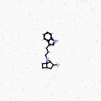 CCC1CC2CCC23C1N3CCCc1c[nH]c2ccccc12